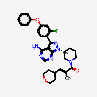 N#CC(=CC1CCOCC1)C(=O)N1CCC[C@@H](n2nc(-c3ccc(Oc4ccccc4)cc3F)c3c(N)ncnc32)C1